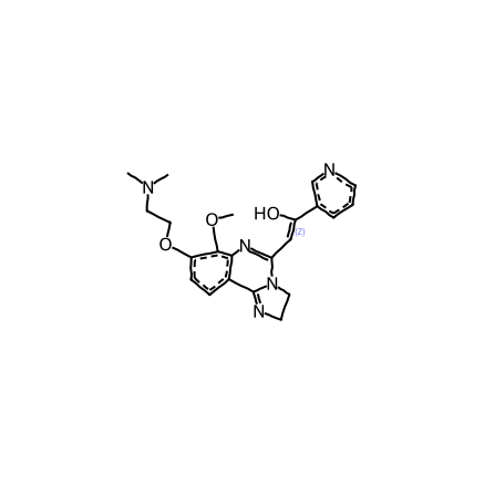 COc1c(OCCN(C)C)ccc2c1N=C(/C=C(\O)c1cccnc1)N1CCN=C21